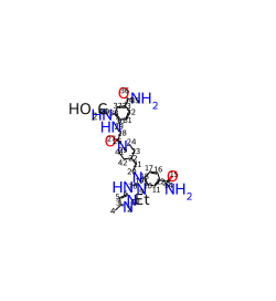 CCn1nc(C)cc1Nc1nc2cc(C(N)=O)ccc2n1CCC1CCN(C(=O)CNc2ccc(C(N)=O)cc2NC(=O)O)CC1